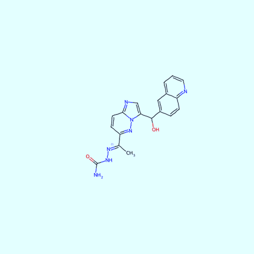 C/C(=N\NC(N)=O)c1ccc2ncc(C(O)c3ccc4ncccc4c3)n2n1